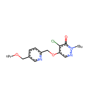 CCCOCc1ccc(COc2cnn(C(C)(C)C)c(=O)c2Cl)nc1